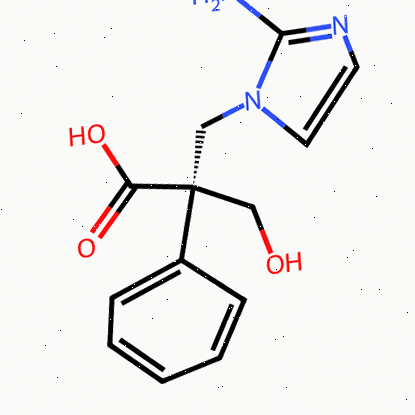 Nc1nccn1C[C@@](CO)(C(=O)O)c1ccccc1